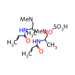 C=CC(=O)NC(C)CNC.C=CC(=O)NC(C)CNC.O=S(=O)(O)O